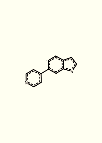 [c]1cc2ccsc2cc1-c1ccncc1